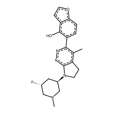 Cc1c(-c2ccc3occc3c2O)nnc2c1CCN2[C@@H]1C[C@@H](F)CN(C)C1